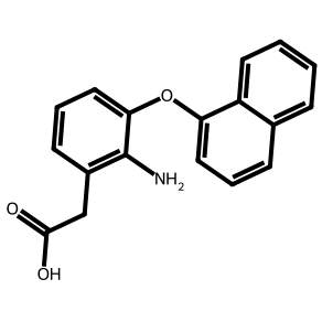 Nc1c(CC(=O)O)cccc1Oc1cccc2ccccc12